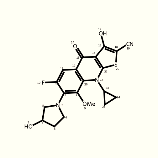 COc1c(N2CCC(O)C2)c(F)cc2c(=O)c3c(O)c(C#N)sc3n(C3CC3)c12